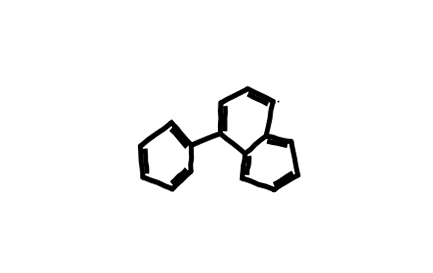 [c]1ccc(-c2ccccc2)c2ccccc12